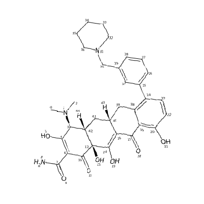 CN(C)[C@@H]1C(O)=C(C(N)=O)C(=O)[C@@]2(O)C(O)=C3C(=O)c4c(O)ccc(-c5cccc(CN6CCCCC6)c5)c4C[C@H]3C[C@@H]12